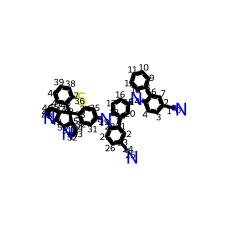 N#Cc1ccc2c(c1)c1ccccc1n2-c1ccc2c(c1)c1cc(C#N)ccc1n2-c1ccc2c(c1)Sc1ccccc1C21c2cccnc2-c2ncccc21